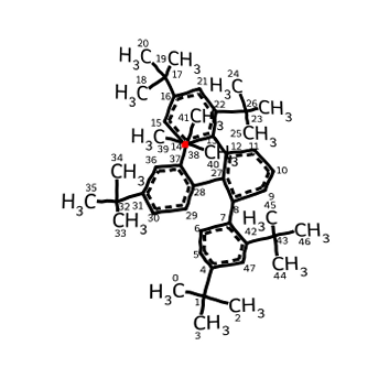 CC(C)(C)c1ccc(-c2cccc(-c3ccc(C(C)(C)C)cc3C(C)(C)C)c2-c2ccc(C(C)(C)C)cc2C(C)(C)C)c(C(C)(C)C)c1